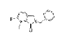 O=C1c2c(ccc(F)c2I)CN1Cc1ccccc1